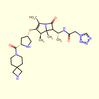 C[C@@H](NC(=O)Cn1cnnn1)C1C(=O)N2C(C(=O)O)=C(S[C@@H]3CN[C@H](C(=O)N4CCC5(CC4)CNC5)C3)[C@H](C)C12C